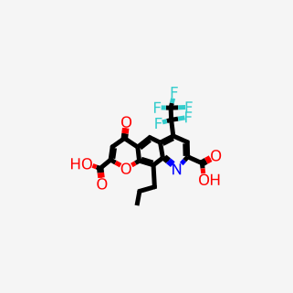 CCCc1c2nc(C(=O)O)cc(C(F)(F)C(F)(F)F)c2cc2c(=O)cc(C(=O)O)oc12